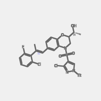 CCn1cc(S(=O)(=O)N2CC([C@@H](C)O)Oc3ccc(/C=C(\C)c4c(F)cccc4Cl)cc32)c(Cl)n1